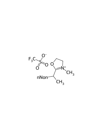 CCCCCCCCCC(C)C1=[N+](C)CCO1.O=S(=O)([O-])C(F)(F)F